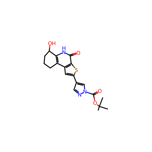 CC(C)(C)OC(=O)n1cc(-c2cc3c4c([nH]c(=O)c3s2)C(O)CCC4)cn1